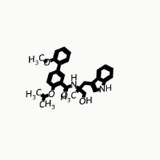 COc1ccccc1-c1ccc(OC(C)C)c(C(=O)NC(C)(CO)Cc2c[nH]c3ccccc23)c1